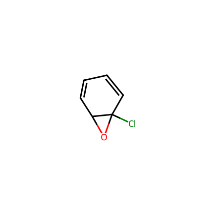 ClC12C=CC=CC1O2